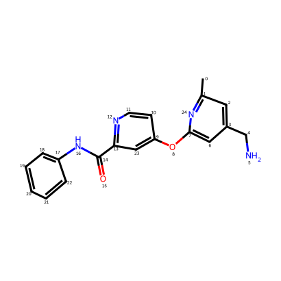 Cc1cc(CN)cc(Oc2ccnc(C(=O)Nc3ccccc3)c2)n1